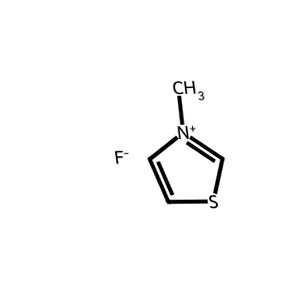 C[n+]1ccsc1.[F-]